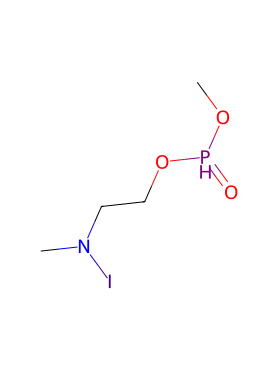 CO[PH](=O)OCCN(C)I